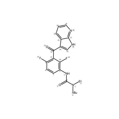 CCCCN(CC)C(=O)Nc1ccc(F)c(C(=O)c2c[nH]c3ncccc23)c1F